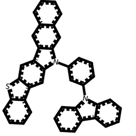 c1cc(-n2c3ccccc3c3ccccc32)cc(-n2c3cc4ccccc4cc3c3cc4sc5ccccc5c4cc32)c1